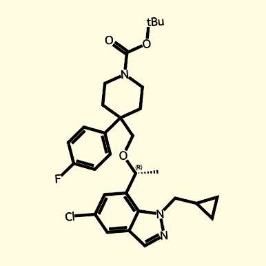 C[C@@H](OCC1(c2ccc(F)cc2)CCN(C(=O)OC(C)(C)C)CC1)c1cc(Cl)cc2cnn(CC3CC3)c12